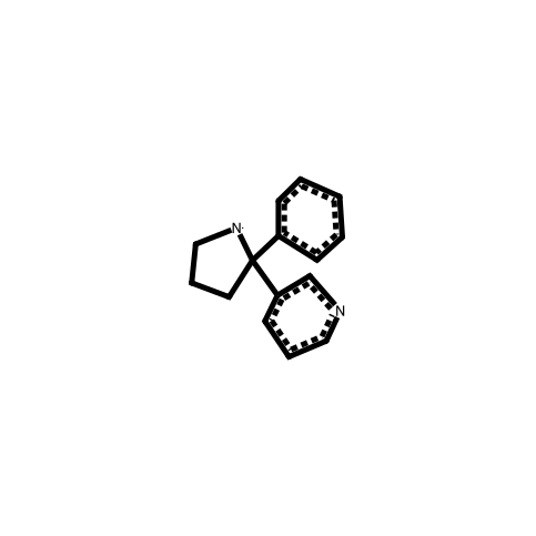 c1ccc(C2(c3cccnc3)CCC[N]2)cc1